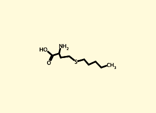 CCCCCSCCC(N)C(=O)O